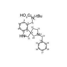 CC(C)(C)N(Cc1cccc2c1C1(CCN(Cc3ccccc3)C1)CN2)C(=O)O